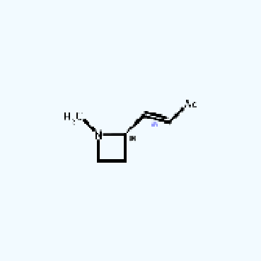 CC(=O)/C=C/[C@H]1CCN1C